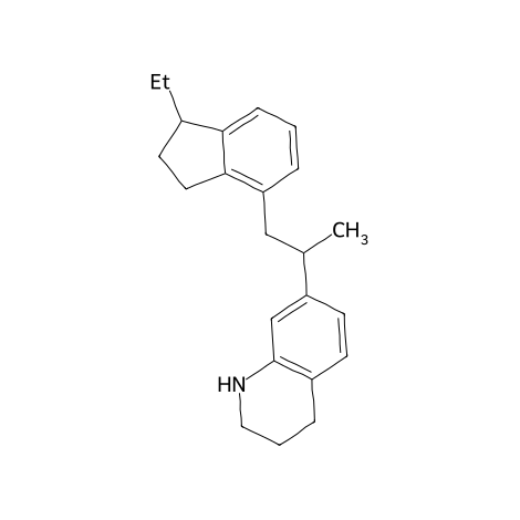 CCC1CCc2c(CC(C)c3ccc4c(c3)NCCC4)cccc21